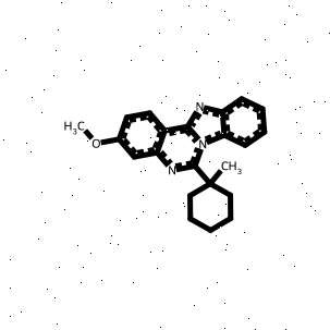 COc1ccc2c(c1)nc(C1(C)CCCCC1)n1c3ccccc3nc21